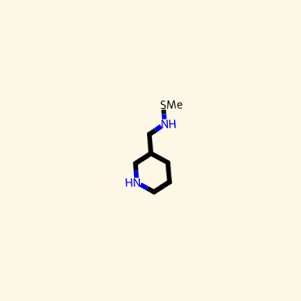 CSNCC1CCCNC1